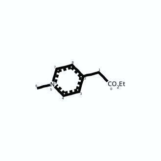 CCOC(=O)Cc1cc[n+](C)cc1